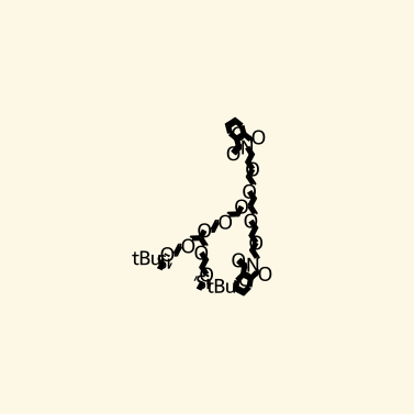 CC(C)(C)[Si](C)(C)OCCOCC(COCCO[Si](C)(C)C(C)(C)C)OCCOCCOC(COCCOCCN1C(=O)C2C3C=CC(O3)C2C1=O)COCCOCCN1C(=O)C2C3C=CC(O3)C2C1=O